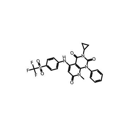 Cn1c(=O)cc(Nc2ccc(S(=O)(=O)C(F)(F)F)cc2)c2c(=O)n(C3CC3)c(=O)n(-c3ccccc3)c21